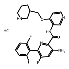 Cl.Nc1cc(F)c(-c2c(F)cccc2F)nc1C(=O)Nc1cnccc1OCC1CCCNC1